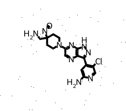 NCC1(N=O)CCN(c2cnc3c(-c4cc(N)ncc4Cl)n[nH]c3n2)CC1